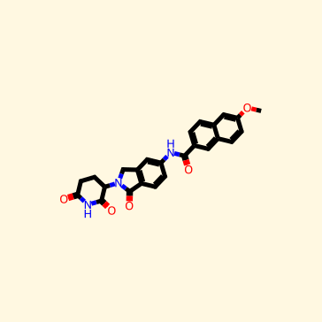 COc1ccc2cc(C(=O)Nc3ccc4c(c3)CN(C3CCC(=O)NC3=O)C4=O)ccc2c1